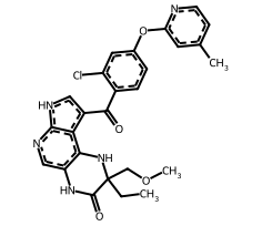 CCC1(COC)Nc2c(cnc3[nH]cc(C(=O)c4ccc(Oc5cc(C)ccn5)cc4Cl)c23)NC1=O